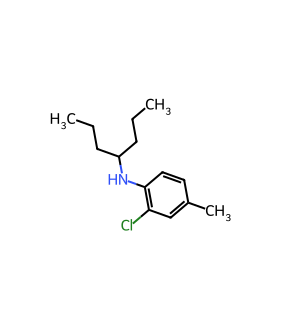 CCCC(CCC)Nc1ccc(C)cc1Cl